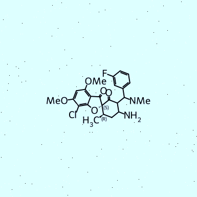 CNC(c1cccc(F)c1)C1C(=O)[C@@]2(Oc3c(Cl)c(OC)cc(OC)c3C2=O)[C@H](C)CC1N